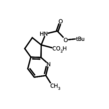 Cc1ccc2c(n1)C(NC(=O)OC(C)(C)C)(C(=O)O)CC2